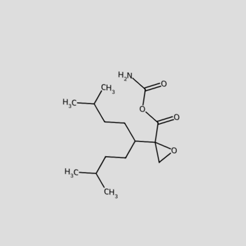 CC(C)CCC(CCC(C)C)C1(C(=O)OC(N)=O)CO1